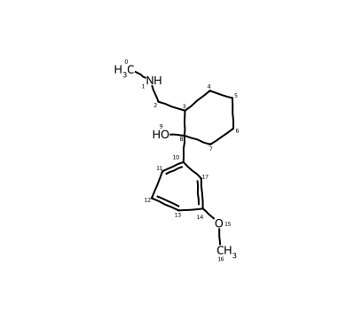 CNCC1CCCCC1(O)c1cccc(OC)c1